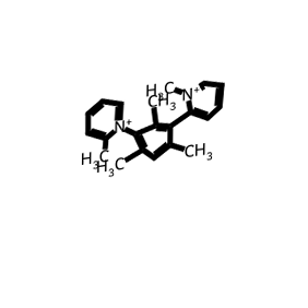 Cc1cc(C)c(-[n+]2ccccc2C)c(C)c1-c1cccc[n+]1C